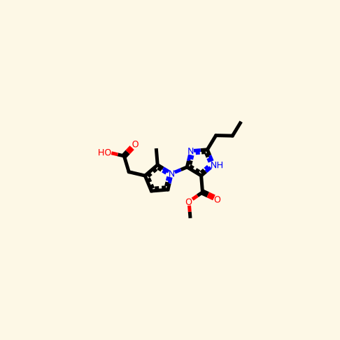 CCCc1nc(-n2ccc(CC(=O)O)c2C)c(C(=O)OC)[nH]1